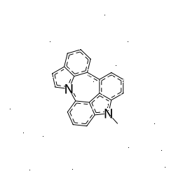 Cn1c2cccc3c4cccc5ccn(c6cccc1c6c32)c54